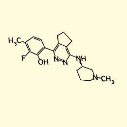 Cc1ccc(-c2nnc(N[C@@H]3CCCN(C)C3)c3c2CCC3)c(O)c1F